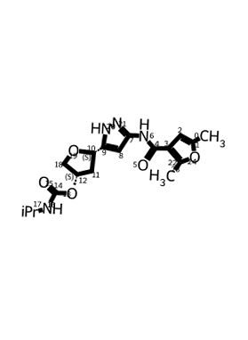 Cc1cc(C(=O)Nc2cc([C@@H]3C[C@H](OC(=O)NC(C)C)CO3)[nH]n2)c(C)o1